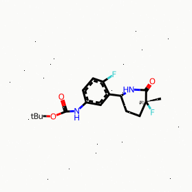 CC(C)(C)OC(=O)Nc1ccc(F)c(C2CC[C@@](C)(F)C(=O)N2)c1